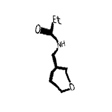 CCC(=O)NCC1CCOC1